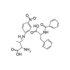 CC(C)C(N)C(=O)O.Nc1ccc([N+](=O)[O-])cc1.O=C(NC(Cc1ccccc1)C(=O)O)c1ccccc1